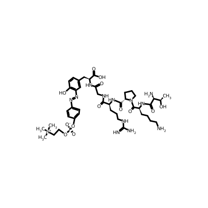 C[C@@H](O)[C@H](N)C(=O)N[C@@H](CCCCN)C(=O)N1CCC[C@H]1C(=O)N[C@@H](CCCNC(=N)N)C(=O)NCC(=O)N[C@@H](Cc1ccc(O)c(/N=N/c2ccc(OP(=O)([O-])OCC[N+](C)(C)C)cc2)c1)C(=O)O